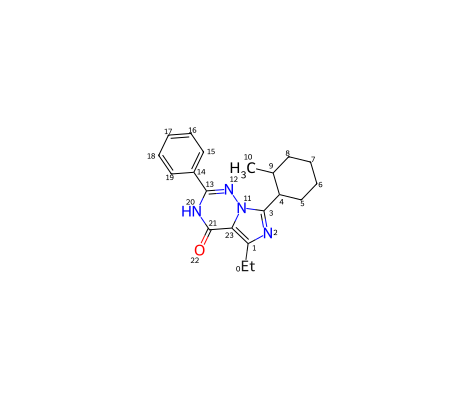 CCc1nc(C2CCCCC2C)n2nc(-c3ccccc3)[nH]c(=O)c12